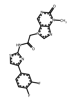 Cn1c(=O)ncc2c1ncn2CC(=O)Nc1nc(-c2ccc(F)c(F)c2)cs1